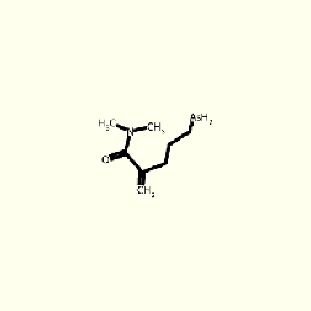 C=C(CCC[AsH2])C(=O)N(C)C